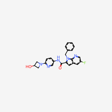 O=C(Nc1ccc(N2CC(O)C2)nc1)c1cc2cc(F)cnc2n1Cc1ccccc1